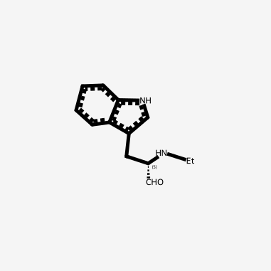 CCN[C@H](C=O)Cc1c[nH]c2ccccc12